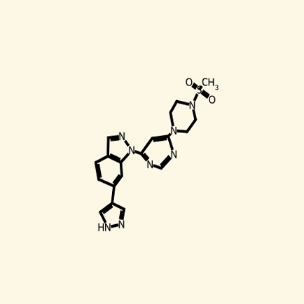 CS(=O)(=O)N1CCN(c2cc(-n3ncc4ccc(-c5cn[nH]c5)cc43)ncn2)CC1